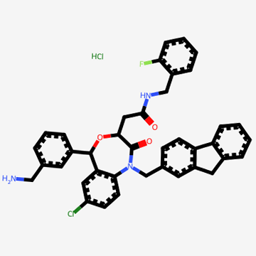 Cl.NCc1cccc(C2OC(CC(=O)NCc3ccccc3F)C(=O)N(Cc3ccc4c(c3)Cc3ccccc3-4)c3ccc(Cl)cc32)c1